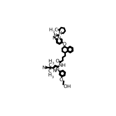 C[C@H]1CCCCN1c1nnc2ccc(O[C@@H]3CCC(CCCC(=O)Nc4cc(C(C)(C)C#N)nn4-c4cccc(OCCO)c4)c4ccccc43)cn12